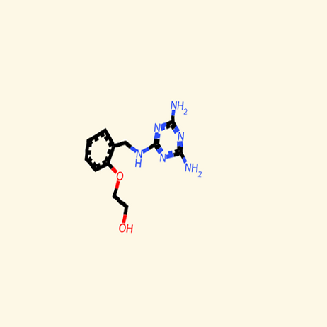 Nc1nc(N)nc(NCc2ccccc2OCCO)n1